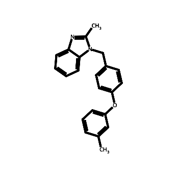 Cc1cccc(Oc2ccc(Cn3c(C)nc4ccccc43)cc2)c1